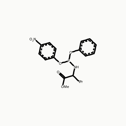 COC(=O)C(NP(Oc1ccccc1)Oc1ccc([N+](=O)[O-])cc1)C(C)C